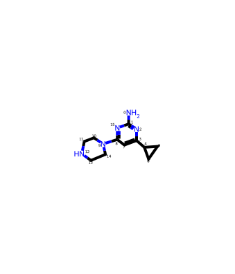 Nc1nc(C2CC2)cc(N2CCNCC2)n1